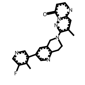 Cc1cc2nccc(=O)n2nc1N1CCc2ncc(-c3cncc(F)c3C)cc2C1